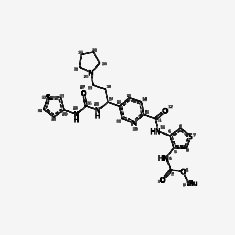 CC(C)(C)OC(=O)Nc1cscc1NC(=O)c1ccc(C(CCN2CCCC2)NC(=O)Nc2ccsc2)cn1